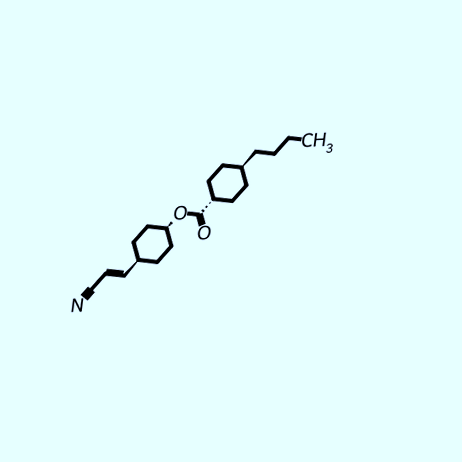 CCCC[C@H]1CC[C@H](C(=O)O[C@H]2CC[C@H](C=CC#N)CC2)CC1